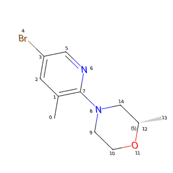 Cc1cc(Br)cnc1N1CCO[C@@H](C)C1